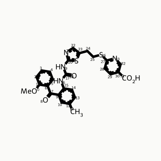 COc1ccccc1C(=O)c1cc(C)ccc1NC(=O)Nc1ncc(CCSc2ccc(C(=O)O)cn2)s1